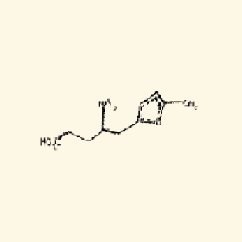 Cc1ccc(CC(N)CCC(=O)O)o1